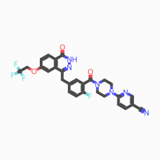 N#Cc1ccc(N2CCN(C(=O)c3cc(Cc4n[nH]c(=O)c5ccc(OCC(F)(F)F)cc45)ccc3F)CC2)nc1